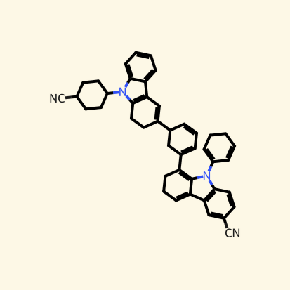 N#Cc1ccc2c(c1)c1c(n2C2=CCCC=C2)=C(C2=CC=CC(C3=Cc4c(n(C5CCC(C#N)CC5)c5ccccc45)CC3)C2)CCC=1